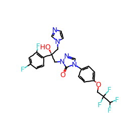 O=c1n(-c2ccc(OCC(F)(F)C(F)F)cc2)cnn1C[C@@](O)(Cn1ccnc1)c1ccc(F)cc1F